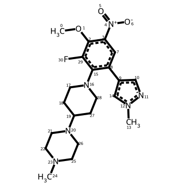 COc1c([N+](=O)[O-])cc(-c2cnn(C)c2)c(N2CCC(N3CCN(C)CC3)CC2)c1F